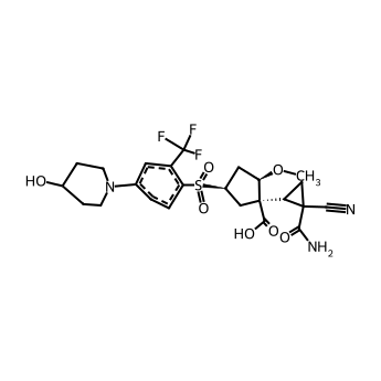 CO[C@@H]1C[C@H](S(=O)(=O)c2ccc(N3CCC(O)CC3)cc2C(F)(F)F)C[C@@]1(C(=O)O)C1CC1(C#N)C(N)=O